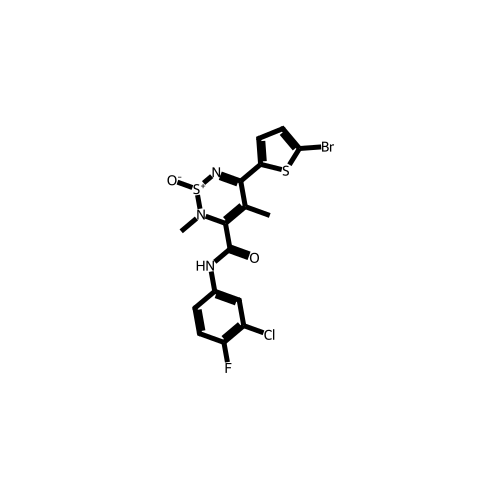 CC1=C(C(=O)Nc2ccc(F)c(Cl)c2)N(C)[S+]([O-])N=C1c1ccc(Br)s1